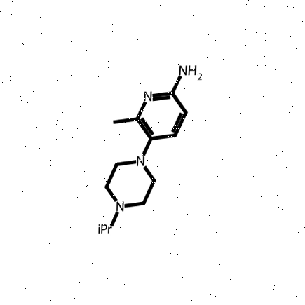 Cc1nc(N)ccc1N1CCN(C(C)C)CC1